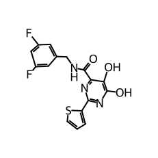 O=C(NCc1cc(F)cc(F)c1)c1nc(-c2cccs2)nc(O)c1O